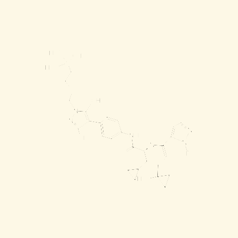 CCn1nccc1C(=O)N[C@H](C(=O)Nc1ccc(-c2c(C)nn(COCC[Si](C)(C)C)c2C)cc1)[C@H](CC1(C)CC1)C1CC1